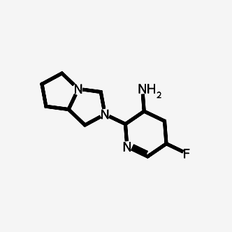 NC1CC(F)C=NC1N1CC2CCCN2C1